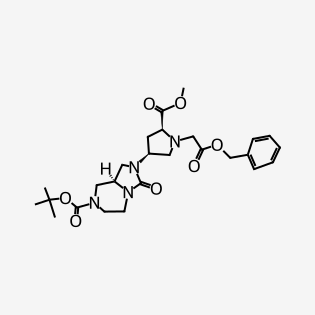 COC(=O)[C@@H]1C[C@H](N2C[C@@H]3CN(C(=O)OC(C)(C)C)CCN3C2=O)CN1CC(=O)OCc1ccccc1